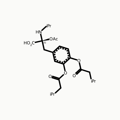 CC(=O)O[C@](Cc1ccc(OC(=O)CC(C)C)c(OC(=O)CC(C)C)c1)(NC(C)C)C(=O)O